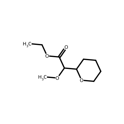 CCOC(=O)C(OC)C1CCCCO1